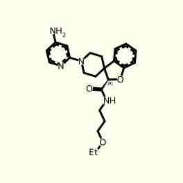 CCOCCCNC(=O)[C@@H]1Oc2ccccc2C12CCN(c1cc(N)ccn1)CC2